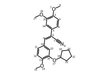 COc1ccc(C(C#N)=Cc2ccc(OC)c(OC3CCCC3)c2)cc1OC